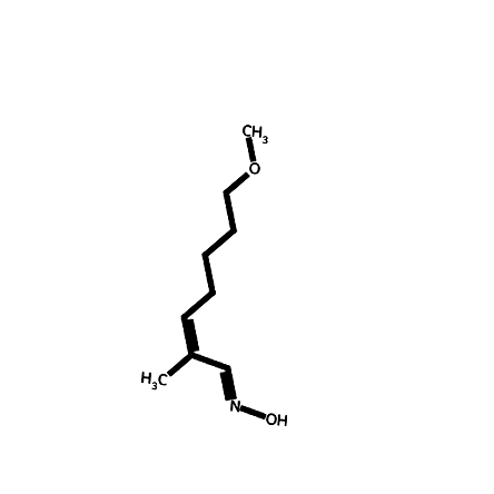 COCCCCC=C(C)C=NO